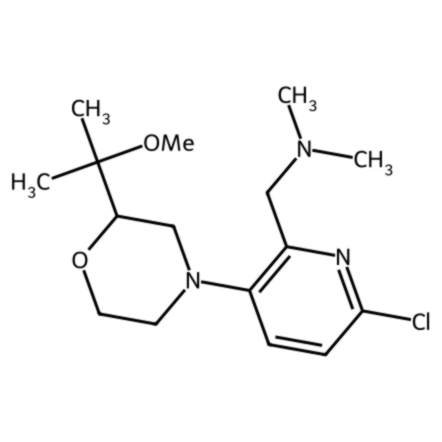 COC(C)(C)C1CN(c2ccc(Cl)nc2CN(C)C)CCO1